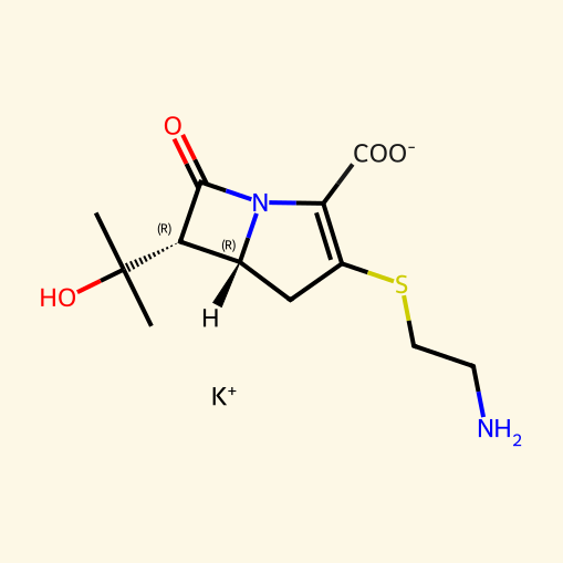 CC(C)(O)[C@@H]1C(=O)N2C(C(=O)[O-])=C(SCCN)C[C@H]12.[K+]